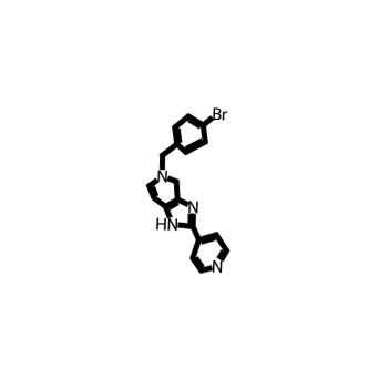 Brc1ccc(CN2C=Cc3[nH]c(-c4ccncc4)nc3C2)cc1